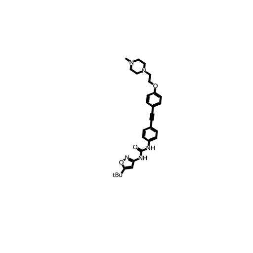 CN1CCN(CCOc2ccc(C#Cc3ccc(NC(=O)Nc4cc(C(C)(C)C)on4)cc3)cc2)CC1